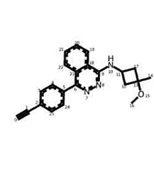 C#Cc1ccc(-c2nnc(NC3CC(C)(OC)C3)c3ccccc23)cc1